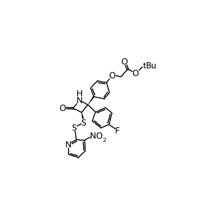 CC(C)(C)OC(=O)COc1ccc([C@]2(c3ccc(F)cc3)NC(=O)[C@@H]2SSc2ncccc2[N+](=O)[O-])cc1